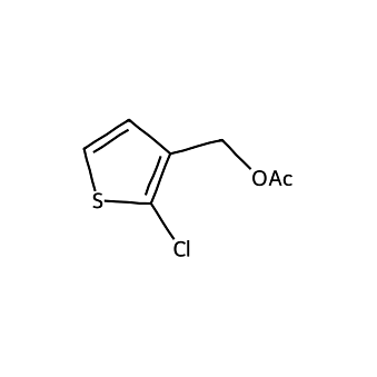 CC(=O)OCc1ccsc1Cl